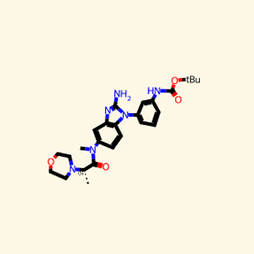 C[C@@H](C(=O)N(C)c1ccc2c(c1)nc(N)n2-c1cccc(NC(=O)OC(C)(C)C)c1)N1CCOCC1